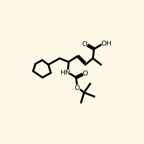 CC(/C=C/C(CC1CCCCC1)NC(=O)OC(C)(C)C)C(=O)O